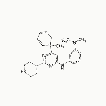 CN(C)c1cccc(Nc2cc(C3(C)C=CC=CC3)nc(C3CCNCC3)n2)c1